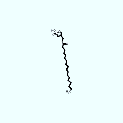 CCCCCCCCC=CCCCCCCCC(=O)OCC1COP(=O)(O)C1